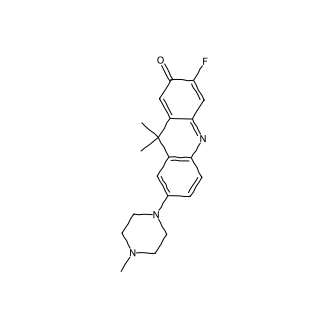 CN1CCN(c2ccc3c(c2)C(C)(C)C2=CC(=O)C(F)=CC2=N3)CC1